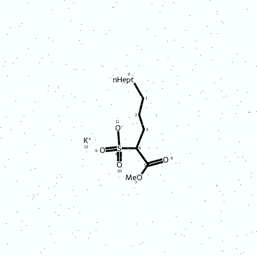 CCCCCCCCCCC(C(=O)OC)S(=O)(=O)[O-].[K+]